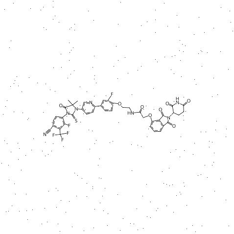 CC1(C)C(=O)N(c2ccc(C#N)c(C(F)(F)F)c2F)C(=S)N1c1ccc(-c2ccc(OCCNC(=O)COc3cccc4c3C(=O)N(C3CCC(=O)NC3=O)C4=O)c(F)c2)nc1